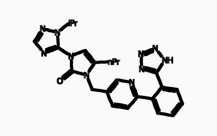 CCCc1cn(-c2ncnn2C(C)C)c(=O)n1Cc1ccc(-c2ccccc2-c2nnn[nH]2)nc1